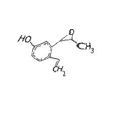 C=Cc1ccc(O)cc1C1OC1C